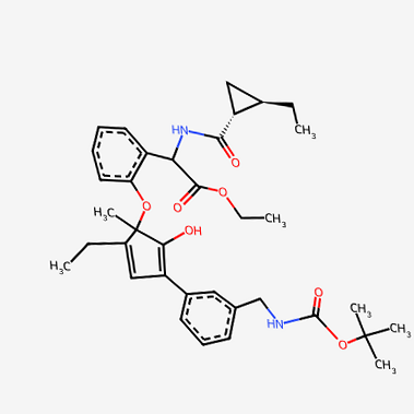 CCOC(=O)C(NC(=O)[C@@H]1C[C@H]1CC)c1ccccc1OC1(C)C(CC)=CC(c2cccc(CNC(=O)OC(C)(C)C)c2)=C1O